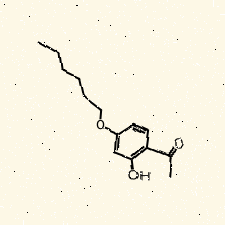 CCCCCCOc1ccc(C(C)=O)c(O)c1